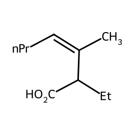 CCCC=C(C)C(CC)C(=O)O